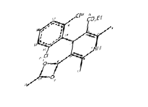 CCOC(=O)C1=C(C)NC(C)=C(C2OC(C)O2)C1c1c(Cl)cccc1Cl